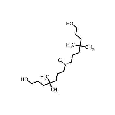 CC(C)(CCCO)CCC[S+]([O-])CCCC(C)(C)CCCO